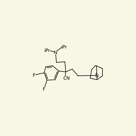 CC(C)N(CCC(C#N)(CCN1CC2CCC(CC2)C1)c1ccc(F)c(F)c1)C(C)C